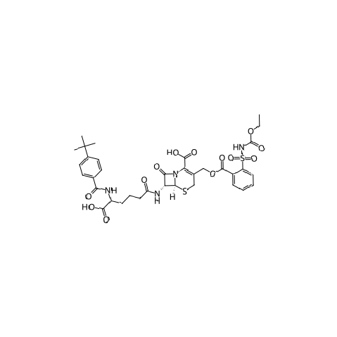 CCOC(=O)NS(=O)(=O)c1ccccc1C(=O)OCC1=C(C(=O)O)N2C(=O)[C@@H](NC(=O)CCCC(NC(=O)c3ccc(C(C)(C)C)cc3)C(=O)O)[C@@H]2SC1